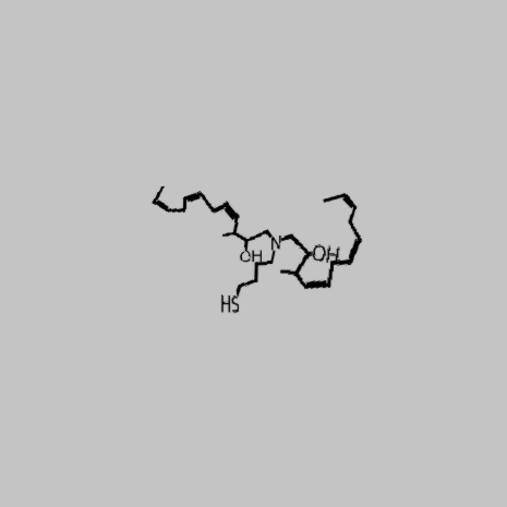 C/C=C\C/C=C\C/C=C\C(C)C(O)CN(CCCCS)CC(O)C(C)/C=C\C/C=C\C/C=C\C